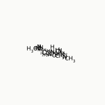 CN1CCN(c2nccc(C(=O)Nc3cc4cc(-c5cn(C)nn5)ccc4cn3)c2Cl)CC1